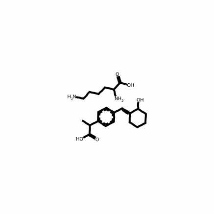 CC(C(=O)O)c1ccc(C=C2CCCCC2O)cc1.NCCCCC(N)C(=O)O